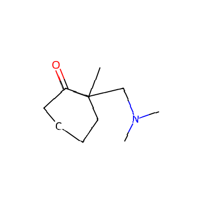 CN(C)CC1(C)CCCCC1=O